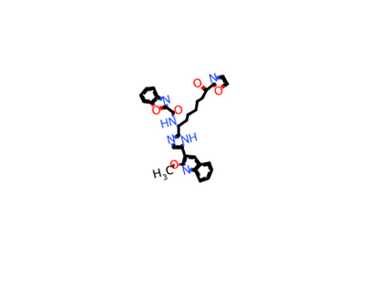 COc1nc2ccccc2cc1-c1cnc(C(CCCCCC(=O)c2ncco2)NC(=O)c2nc3ccccc3o2)[nH]1